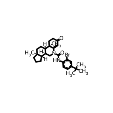 CC(C)(C)c1ccc(NC(=O)N2C[C@H]3[C@@H]4CCC[C@@]4(C)CC[C@@H]3[C@@]3(C)CCC(=O)C=C23)c(Br)c1